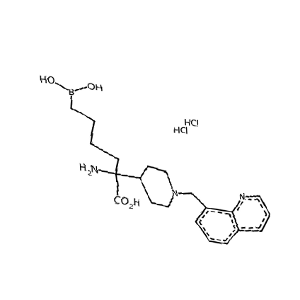 Cl.Cl.NC(CCCCB(O)O)(C(=O)O)C1CCN(Cc2cccc3cccnc23)CC1